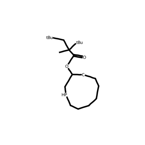 CC(C)(C)CC(C)(C(=O)OC1CCCCCCCPC1)C(C)(C)C